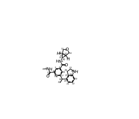 CNC(=O)c1cc(C(=O)N[C@H]2[C@@H]3COC[C@@H]32)cc(C(C)c2cccc3c2CCN3)n1